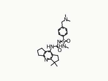 CNS(=O)(=NC(=O)Nc1c2c(nc3c1CCC3(C)C)CCC2)c1ccc(CN(C)C)cc1